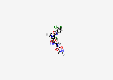 CNC(=O)C(=O)N1CC[C@@H](NS(=O)(=O)c2cn(C)c(C(=O)Nc3ccc(F)c(Cl)c3)c2F)C1